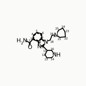 NC(=O)c1cccc2c1nc(C1CCCNC1)n2CCN1CCCCC1